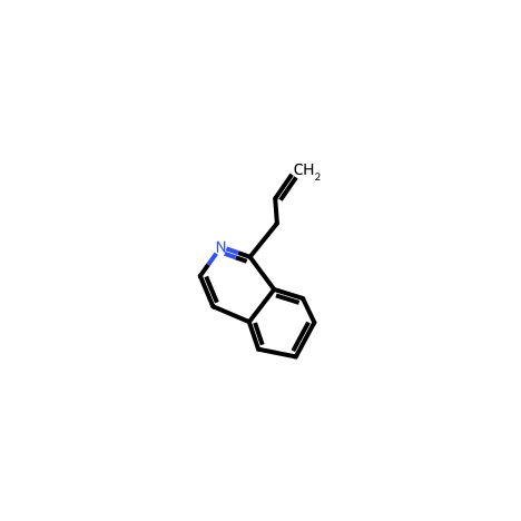 C=CCc1nccc2ccccc12